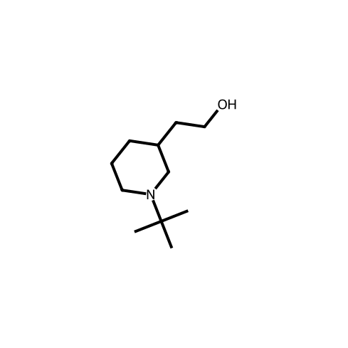 CC(C)(C)N1CCCC(CCO)C1